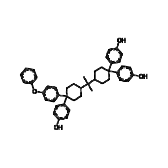 CC(C)(C1CCC(c2ccc(O)cc2)(c2ccc(O)cc2)CC1)C1CCC(c2ccc(O)cc2)(c2ccc(Oc3ccccc3)cc2)CC1